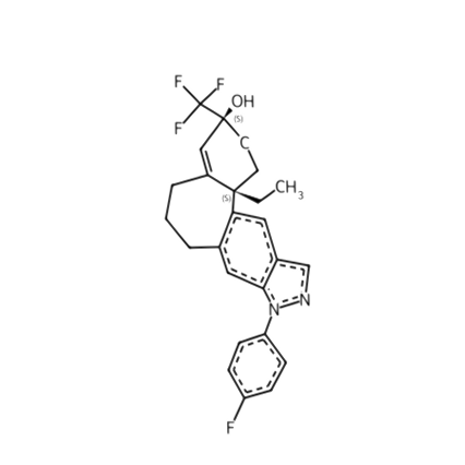 CC[C@]12CC[C@@](O)(C(F)(F)F)C=C1CCCc1cc3c(cnn3-c3ccc(F)cc3)cc12